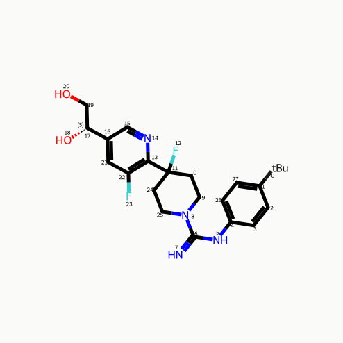 CC(C)(C)c1ccc(NC(=N)N2CCC(F)(c3ncc([C@H](O)CO)cc3F)CC2)cc1